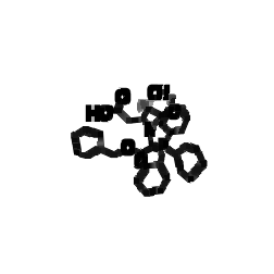 C[C@@H]1C(=O)N(C(C(=O)OCc2ccccc2)=P(c2ccccc2)(c2ccccc2)c2ccccc2)C1CC(=O)O